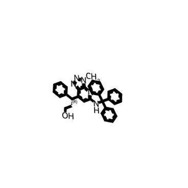 Cn1nnc2c([C@H](CCO)c3ccccc3)cc(NC(c3ccccc3)(c3ccccc3)c3ccccc3)nc21